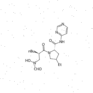 CCCC[C@H](CN(O)C=O)C(=O)N1CC(CC)C[C@H]1C(=O)Nc1ccncn1